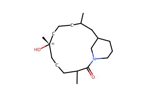 CC1CCC[C@@](C)(O)CCCC(C)C(=O)N2CCCC(C1)C2